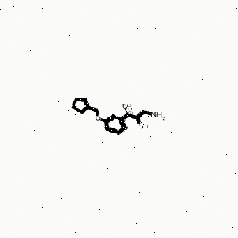 NCC(S)[C@@H](O)c1cccc(OCC2CCCC2)c1